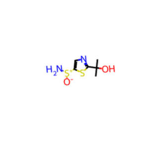 CC(C)(O)c1ncc([S@@+](N)[O-])s1